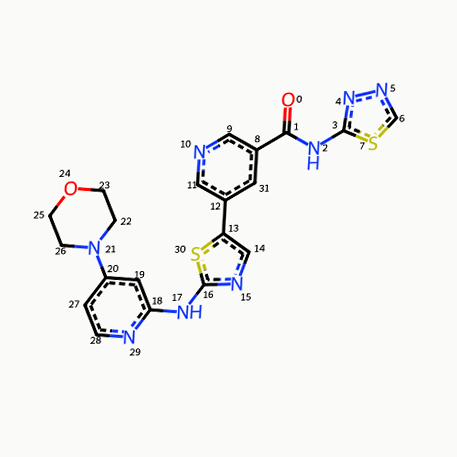 O=C(Nc1nncs1)c1cncc(-c2cnc(Nc3cc(N4CCOCC4)ccn3)s2)c1